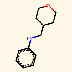 c1ccc(NCC2CCOCC2)cc1